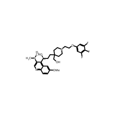 COc1ccc2ncc(N(C)C)c([C@@H](O)CCC3(CO)CCN(CCOc4cc(F)c(F)c(F)c4)CC3)c2c1